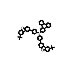 CC(C)(C)c1ccc2oc3ccc(-c4ccc(N(c5ccc(-c6ccc7oc8ccc(C(C)(C)C)cc8c7c6)cc5)c5ccc6c7ccccc7c7ccccc7c6c5)cc4)cc3c2c1